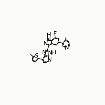 Cc1ccc(-c2ccnc3[nH]c(-c4n[nH]c5c(F)cc(-c6cnccc6C)cc45)nc23)s1